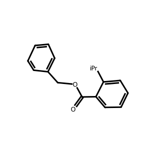 CC(C)c1ccccc1C(=O)OCc1ccccc1